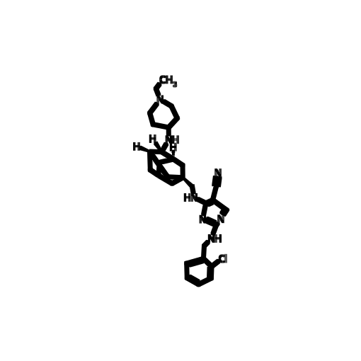 CCN1CCC(N[C@@H]2[C@@H]3CC4C[C@H]2C[C@@](CNc2nc(NCc5ccccc5Cl)ncc2C#N)(C4)C3)CC1